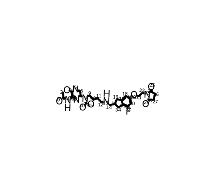 O=C1COc2ncc(N3CC(CCNCC4Cc5cc(OCCN6C(=O)CCC6=O)cc(F)c5C4)OC3=O)nc2N1